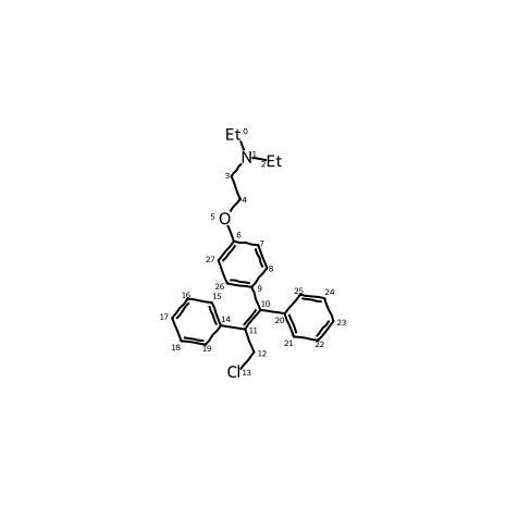 CCN(CC)CCOc1ccc(C(=C(CCl)c2ccccc2)c2ccccc2)cc1